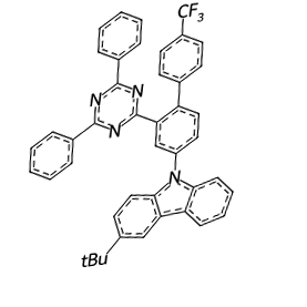 CC(C)(C)c1ccc2c(c1)c1ccccc1n2-c1ccc(-c2ccc(C(F)(F)F)cc2)c(-c2nc(-c3ccccc3)nc(-c3ccccc3)n2)c1